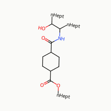 CCCCCCCOC(=O)C1CCC(C(=O)NC(CCCCCCC)C(O)CCCCCCC)CC1